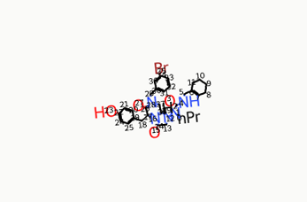 CCCN(C(=O)NCC1=CCCCC1)N1CC(=O)N2[C@@H](Cc3ccc(O)cc3)C(=O)N(Cc3cccc(Br)c3)C[C@@H]21